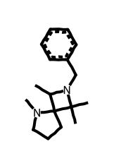 CC1N(Cc2ccccc2)C(C)(C)C12CCCN2C